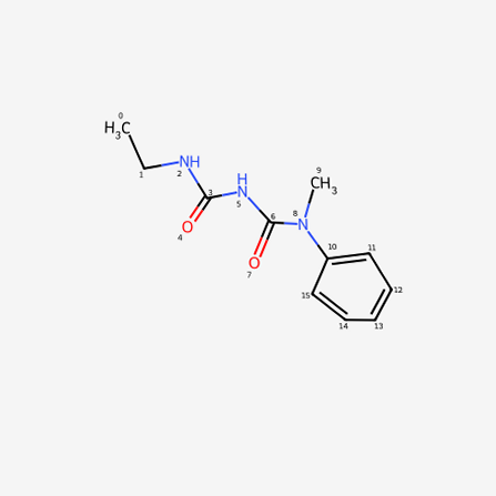 CCNC(=O)NC(=O)N(C)c1ccccc1